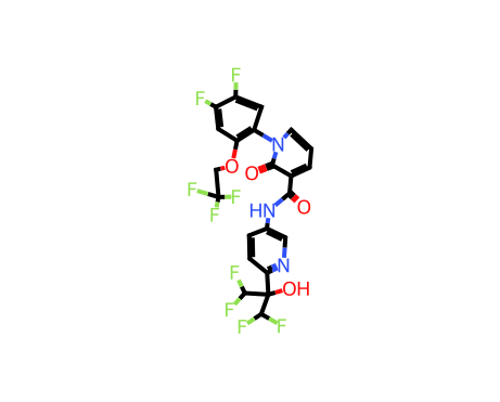 O=C(Nc1ccc(C(O)(C(F)F)C(F)F)nc1)c1cccn(-c2cc(F)c(F)cc2OCC(F)(F)F)c1=O